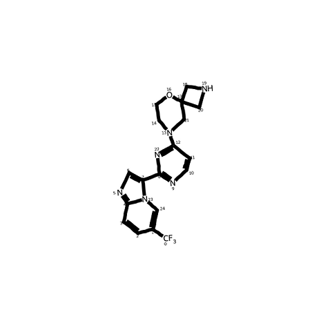 FC(F)(F)c1ccc2ncc(-c3nccc(N4CCOC5(CNC5)C4)n3)n2c1